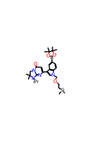 CC(C)N1c2nc(-c3cn(COCC[Si](C)(C)C)c4ccc(B5OC(C)(C)C(C)(C)O5)cc34)cc(=O)n2CC1(C)C